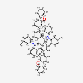 Cc1cccc(N(c2cccc(-c3cccc4c3oc3ccccc34)c2)c2c3ccccc3c(N(c3cccc(C)c3)c3cccc(-c4cccc5c4oc4ccccc45)c3)c3ccccc23)c1